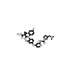 CN(C)CC1CCN(C(=O)Nc2cc(Oc3ccc(N(C(=O)C4(C(N)=O)CC4)c4ccc(F)cc4)c(F)c3)ccn2)C1